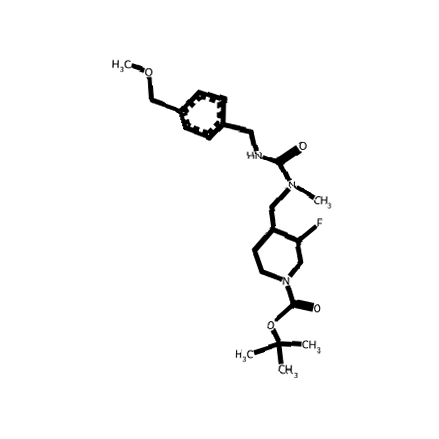 COCc1ccc(CNC(=O)N(C)CC2CCN(C(=O)OC(C)(C)C)CC2F)cc1